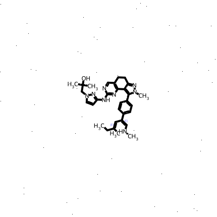 CC/C(C)=C/C(=C\NC)c1ccc(-c2c3c(nn2C)CCc2cnc(Nc4ccn(CC(C)(C)O)n4)nc2-3)cc1